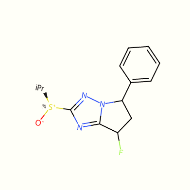 CC(C)[S@+]([O-])c1nc2n(n1)C(c1ccccc1)CC2F